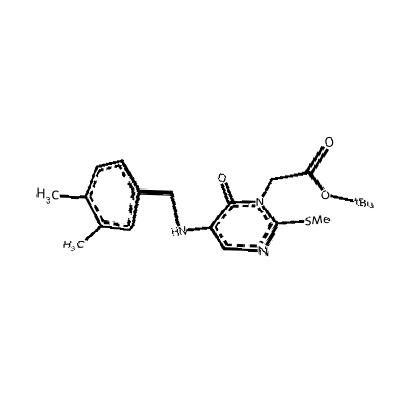 CSc1ncc(NCc2ccc(C)c(C)c2)c(=O)n1CC(=O)OC(C)(C)C